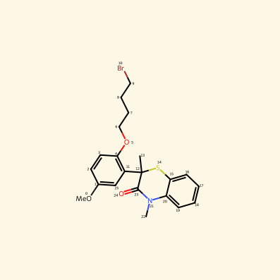 COc1ccc(OCCCCBr)c(C2(C)Sc3ccccc3N(C)C2=O)c1